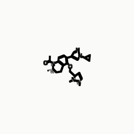 CC(=O)N1c2ccc(-c3cnn(C4CC4)c3)c(OCC3C=CN(C)N3C)c2CC[C@@H]1C